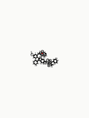 COc1ccc2c(c1)C1CC1(C(=O)N1C3CC1CN(C)C3)Cn1c-2c(C2CCCCC2)c2ccc(C(=O)NS(=O)(=O)C3(C(=O)c4ccccc4)CC3)cc21